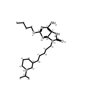 CCCCOc1nc(N)c2[nH]c(=O)n(CCCCCC3CCCN(C(C)C)C3)c2n1